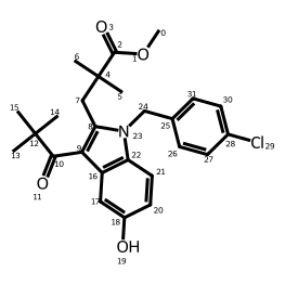 COC(=O)C(C)(C)Cc1c(C(=O)C(C)(C)C)c2cc(O)ccc2n1Cc1ccc(Cl)cc1